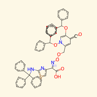 O=C=C1C=C(COO/N=C(\C(=O)O)c2csc(NC(c3ccccc3)(c3ccccc3)c3ccccc3)n2)N(OC(c2ccccc2)c2ccccc2)C=C1OC(c1ccccc1)c1ccccc1